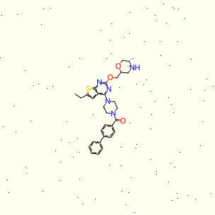 CCc1cc2c(N3CCN(C(=O)c4ccc(-c5ccccc5)cc4)CC3)nc(OCC3CNCCO3)nc2s1